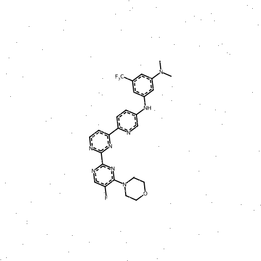 CN(C)c1cc(Nc2ccc(-c3ccnc(-c4ncc(F)c(N5CCOCC5)n4)n3)nc2)cc(C(F)(F)F)c1